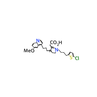 COc1ccc2nccc(CCC[C@@H]3CCN(CCCCc4ccc(Cl)s4)C[C@@H]3CC(=O)O)c2c1